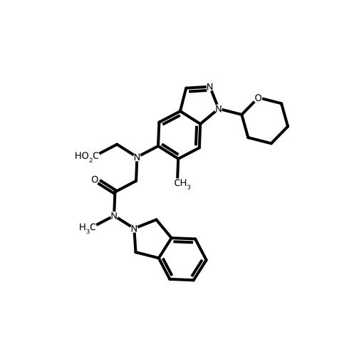 Cc1cc2c(cnn2C2CCCCO2)cc1N(CC(=O)O)CC(=O)N(C)N1Cc2ccccc2C1